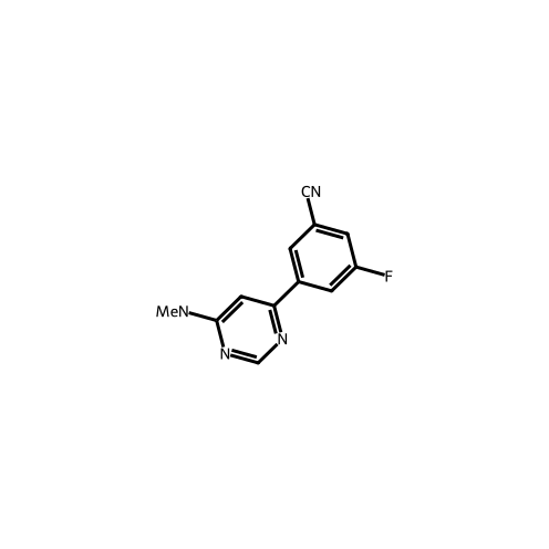 CNc1cc(-c2cc(F)cc(C#N)c2)ncn1